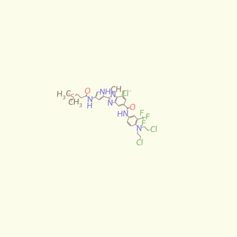 Cn1c(-c2cc(NC(=O)CC[S+](C)C)c[nH]2)nc2cc(C(=O)Nc3ccc(N(CCCl)CCCl)c(C(F)(F)F)c3)ccc21.[Cl-]